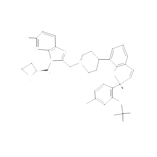 [2H]C([2H])([2H])Oc1cc(Cl)ccc1[C@@]1(C)C=Cc2cccc(C3CCN(Cc4nc5ccc(C)nc5n4C[C@@H]4CCO4)CC3)c2O1